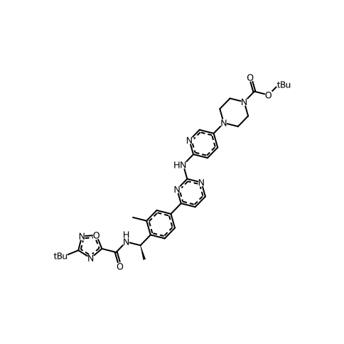 Cc1cc(-c2ccnc(Nc3ccc(N4CCN(C(=O)OC(C)(C)C)CC4)cn3)n2)ccc1[C@@H](C)NC(=O)c1nc(C(C)(C)C)no1